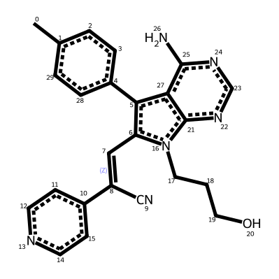 Cc1ccc(-c2c(/C=C(\C#N)c3ccncc3)n(CCCO)c3ncnc(N)c23)cc1